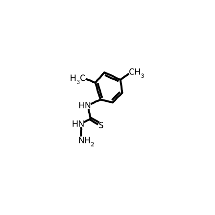 Cc1ccc(NC(=S)NN)c(C)c1